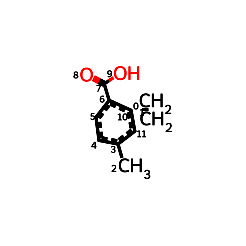 C=C.Cc1ccc(C(=O)O)cc1